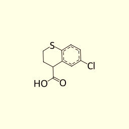 O=C(O)C1CCSc2ccc(Cl)cc21